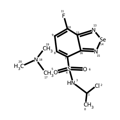 CC(Cl)NS(=O)(=O)c1ccc(F)c2n[se]nc12.CN(C)C